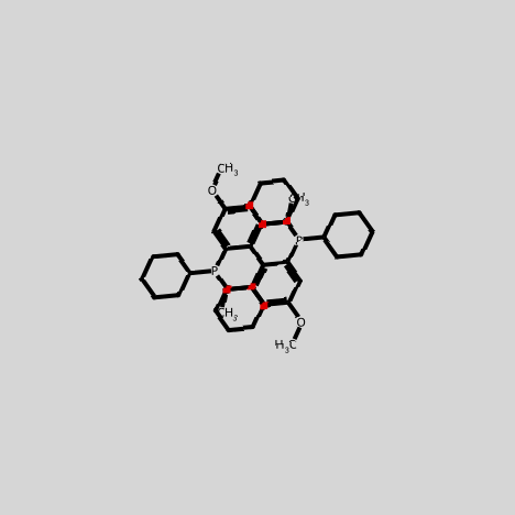 COc1cc(OC)c(-c2c(OC)cc(OC)cc2P(C2CCCCC2)C2CCCCC2)c(P(C2CCCCC2)C2CCCCC2)c1